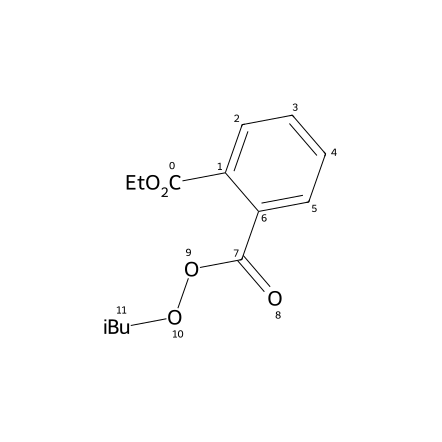 CCOC(=O)c1ccccc1C(=O)OOC(C)CC